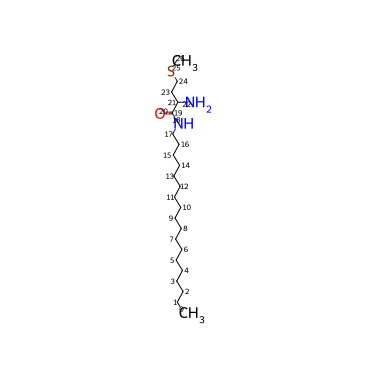 CCCCCCCCCCCCCCCCCCNC(=O)C(N)CCSC